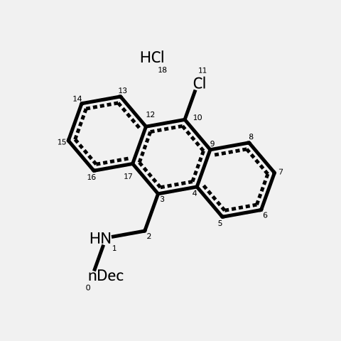 CCCCCCCCCCNCc1c2ccccc2c(Cl)c2ccccc12.Cl